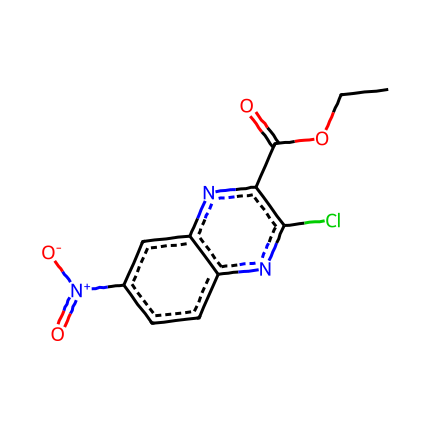 CCOC(=O)c1nc2cc([N+](=O)[O-])ccc2nc1Cl